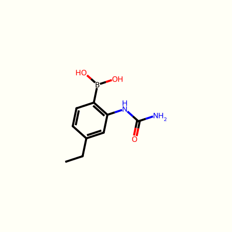 CCc1ccc(B(O)O)c(NC(N)=O)c1